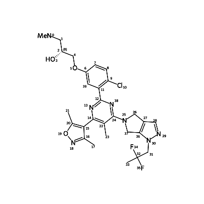 CNC[C@@H](O)COc1ccc(Cl)c(-c2nc(-c3c(C)noc3C)c(C)c(N3Cc4cnn(CC(C)(F)F)c4C3)n2)c1